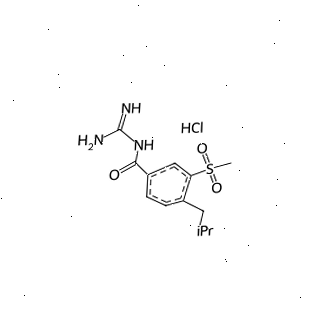 CC(C)Cc1ccc(C(=O)NC(=N)N)cc1S(C)(=O)=O.Cl